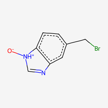 [O-][NH+]1C=Nc2cc(CBr)ccc21